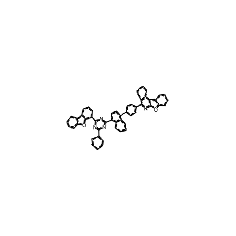 c1ccc(-c2nc(-c3ccc(-c4ccc(-c5nc6oc7ccccc7c6c6ccccc56)cc4)c4ccccc34)nc(-c3cccc4c3oc3ccccc34)n2)cc1